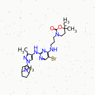 Cc1nn(C2CC3CCC(C2)N3C)cc1Nc1ncc(Br)c(NCCCN2CCC(C)(C)OC2=O)n1